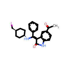 CC(=O)c1ccc2c(c1)/C(=C(/N[C@H]1CC[C@H](CI)CC1)c1ccccc1)C(=O)N2